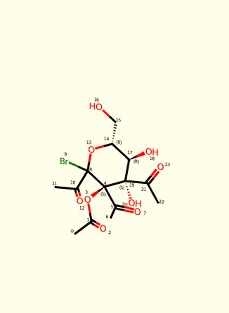 CC(=O)O[C@@]1(C(C)=O)C(Br)(C(C)=O)O[C@H](CO)[C@@H](O)[C@@]1(O)C(C)=O